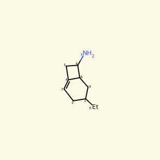 CCC1CC=C2CC(N)C2C1